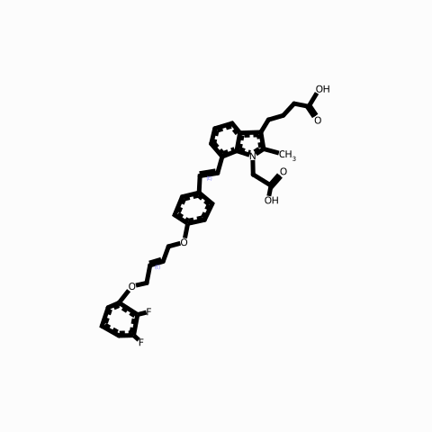 Cc1c(CCCC(=O)O)c2cccc(/C=C/c3ccc(OC/C=C/COc4cccc(F)c4F)cc3)c2n1CC(=O)O